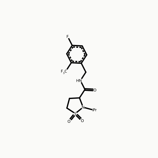 CC(C)N1C(C(=O)NCc2ccc(F)cc2C(F)(F)F)CCS1(=O)=O